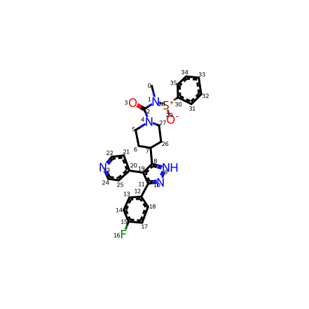 CN(C(=O)N1CCC(c2[nH]nc(-c3ccc(F)cc3)c2-c2ccncc2)CC1)[S+]([O-])c1ccccc1